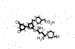 CCN1CCCN(/C(N)=C/C=C(\N)Oc2cc(CN3CCC(CC(=O)O)CC3)cc(-c3cc(Cl)cc(Cl)c3)n2)CC1